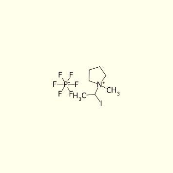 CC(I)[N+]1(C)CCCC1.F[P-](F)(F)(F)(F)F